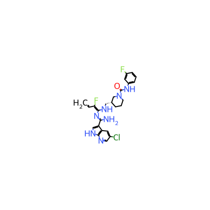 C=C/C(F)=C(\N=C(/N)c1c[nH]c2ncc(Cl)cc12)NC[C@H]1CCCN(C(=O)Nc2cccc(F)c2)C1